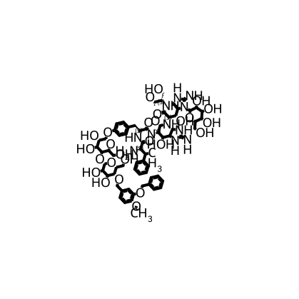 COc1ccc(COC2C(CO)OC(OC3C(CO)OC(Oc4ccc(C[C@H](NC(=O)[C@@H](N)C(C)c5ccccc5)C(=O)N[C@H](C(=O)N[C@H](C(=O)N[C@H]([C]=O)CO)C(O)C5CNC(=N)N5C5OC(CO)C(O)C(O)C5O)C(O)C5CNC(=N)N5)cc4)C(O)C3O)C(O)C2O)cc1OCc1ccccc1